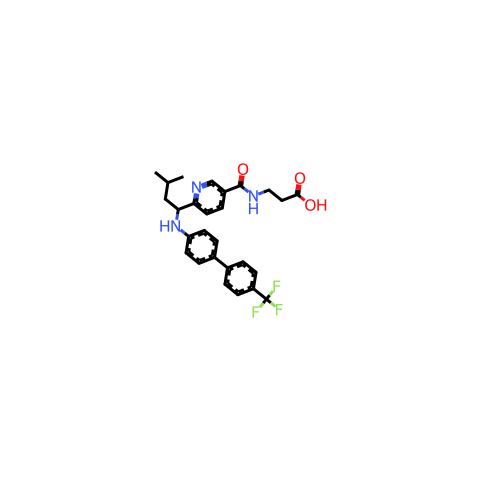 CC(C)CC(Nc1ccc(-c2ccc(C(F)(F)F)cc2)cc1)c1ccc(C(=O)NCCC(=O)O)cn1